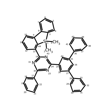 C[Si]1(C)c2ccccc2-c2cccc(-c3nc(-c4ccccc4)nc(-c4cc(-c5ccccc5)cc(-c5ccccc5)c4)n3)c21